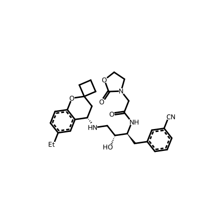 CCc1ccc2c(c1)[C@@H](NC[C@@H](O)[C@H](Cc1cccc(C#N)c1)NC(=O)CN1CCOC1=O)CC1(CCC1)O2